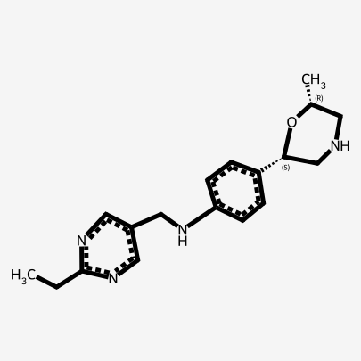 CCc1ncc(CNc2ccc([C@H]3CNC[C@@H](C)O3)cc2)cn1